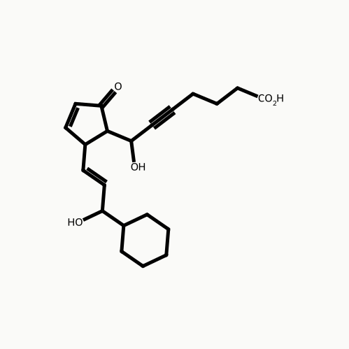 O=C(O)CCCC#CC(O)C1C(=O)C=CC1C=CC(O)C1CCCCC1